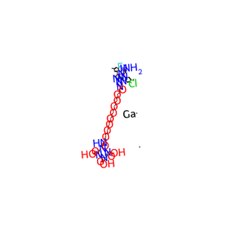 Cc1cc(F)cc(-c2cnc(N3CCN(C(=O)CCOCCOCCOCCOCCOCCOCCOCCOCCNC(=O)CN4CCN(CC(=O)O)CCN(CC(=O)O)CCN(CC(=O)O)CC4)CC3)c(-c3nc4cc(Cl)ccc4[nH]3)c2N2CCC(N)CC2)c1.[Ga]